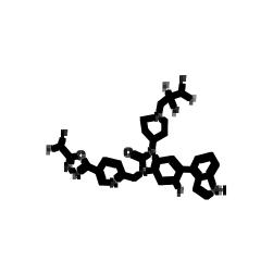 O=c1n(Cc2ccc(-c3nnc(C(F)F)o3)cn2)c2cc(F)c(-c3cccc4[nH]ccc34)cc2n1C1CCN(CC(F)(F)C(F)F)CC1